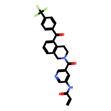 C=CC(=O)Nc1cncc(C(=O)N2CCc3c(cccc3C(=O)c3ccc(C(F)(F)F)cc3)C2)c1